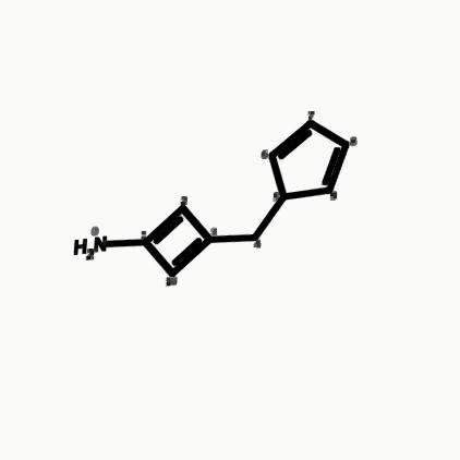 NC1=CC(CC2C=CC=C2)=C1